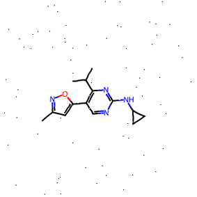 Cc1cc(-c2cnc(NC3CC3)nc2C(C)C)on1